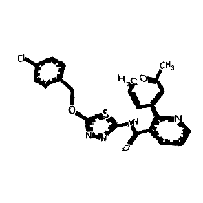 C/C=C\C(=C/C(C)=O)c1ncccc1C(=O)Nc1nnc(OCc2ccc(Cl)cc2)s1